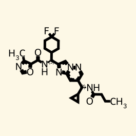 CCCC(=O)N[C@@H](c1cnn2cc([C@@H](NC(=O)c3ocnc3C)C3CCC(F)(F)CC3)nc2c1)C1CC1